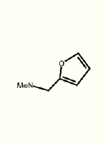 CNCc1ccco1